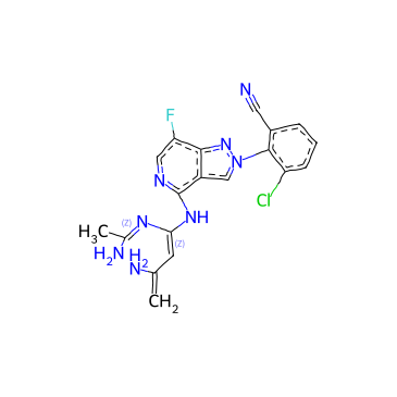 C=C(N)/C=C(\N=C(\C)N)Nc1ncc(F)c2nn(-c3c(Cl)cccc3C#N)cc12